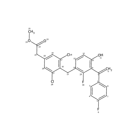 C=C(c1ccc(F)cc1)c1c(O)ccc(Cc2c(Cl)cc(CC(=O)OC)cc2Cl)c1F